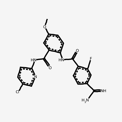 COc1ccc(NC(=O)c2ccc(C(=N)N)cc2F)c(C(=O)Nc2ccc(Cl)cn2)c1